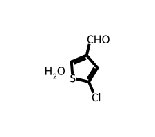 O.O=Cc1csc(Cl)c1